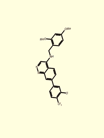 COc1ccc(CNc2cnnc3cc(-c4ccc(C(F)(F)F)c(Cl)c4)ccc23)c(OC)c1